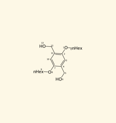 CCCCCCOc1cc(CO)c(OCCCCCC)cc1CO